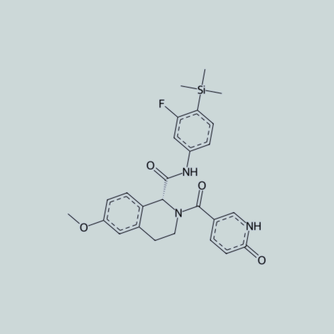 COc1ccc2c(c1)CCN(C(=O)c1ccc(=O)[nH]c1)[C@H]2C(=O)Nc1ccc([Si](C)(C)C)c(F)c1